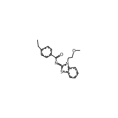 CCc1ccc(C(=O)N=c2sc3ccccc3n2CCOC)cc1